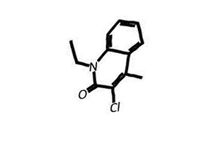 CCn1c(=O)c(Cl)c(C)c2ccccc21